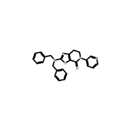 O=C1c2sc(N(Cc3ccccc3)Cc3ccccc3)nc2CCN1c1cccnc1